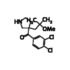 COC(C)(C)CC1(C(=O)c2ccc(Cl)c(Cl)c2)CCNC1